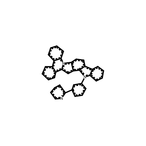 c1ccc(-c2cccc(-n3c4ccccc4c4ccc5c(cc6c7ccccc7c7ccccc7n65)c43)c2)nc1